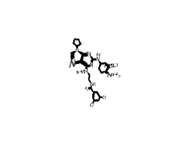 Cl.Cl.NC1CCC(Nc2nc(NCCNC(=O)c3cc(Cl)cc(Cl)c3)c3ncn(C4CCCC4)c3n2)CC1